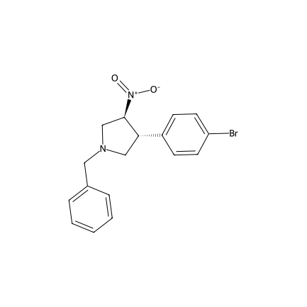 O=[N+]([O-])[C@@H]1CN(Cc2ccccc2)C[C@H]1c1ccc(Br)cc1